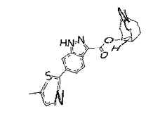 Cc1cnc(-c2ccc3c(C(=O)O[C@@H]4CN5CCC4CC5)n[nH]c3c2)s1